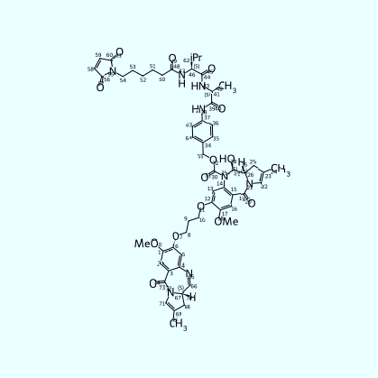 COc1cc2c(cc1OCCCOc1cc3c(cc1OC)C(=O)N1C=C(C)C[C@H]1[C@H](O)N3C(=O)OCc1ccc(NC(=O)[C@H](C)NC(=O)[C@@H](NC(=O)CCCCCN3C(=O)C=CC3=O)C(C)C)cc1)N=C[C@@H]1CC(C)=CN1C2=O